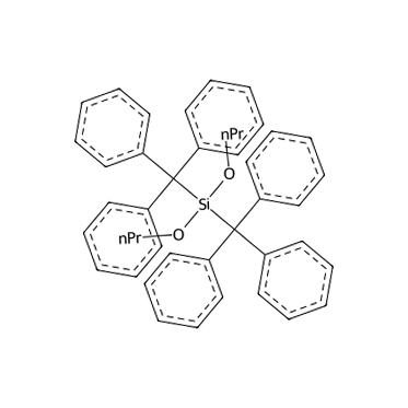 CCCO[Si](OCCC)(C(c1ccccc1)(c1ccccc1)c1ccccc1)C(c1ccccc1)(c1ccccc1)c1ccccc1